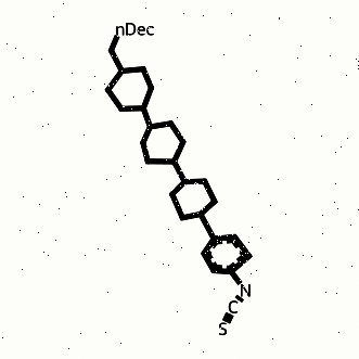 CCCCCCCCCCCC1CCC(C2CCC(C3CCC(c4ccc(N=C=S)cc4)CC3)CC2)CC1